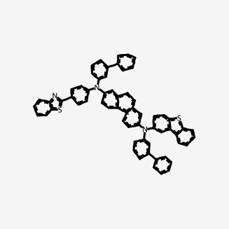 c1ccc(-c2cccc(N(c3ccc(-c4nc5ccccc5s4)cc3)c3ccc4c(ccc5cc(N(c6cccc(-c7ccccc7)c6)c6ccc7sc8ccccc8c7c6)ccc54)c3)c2)cc1